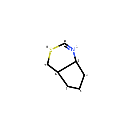 C1=NC2CCCC2CS1